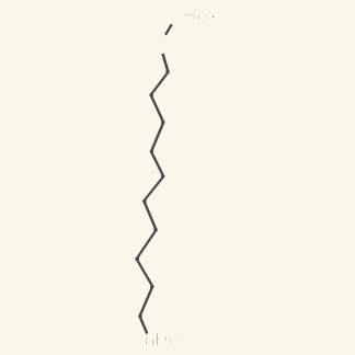 CCCCCCCCCCCCCCCCCCC[CH]SCCCCCC